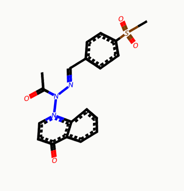 CC(=O)N(N=Cc1ccc(S(C)(=O)=O)cc1)n1ccc(=O)c2ccccc21